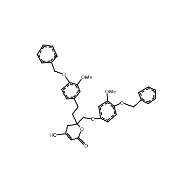 COc1cc(CCC2(CCc3ccc(OCc4ccccc4)c(OC)c3)CC(O)=CC(=O)O2)ccc1OCc1ccccc1